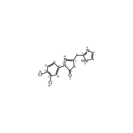 O=C1CC(Cc2ncc[nH]2)=NN1c1ccc(Cl)c(Cl)c1